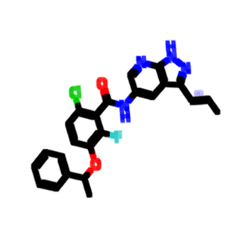 C/C=C/c1n[nH]c2ncc(NC(=O)c3c(Cl)ccc(OC(C)c4ccccc4)c3F)cc12